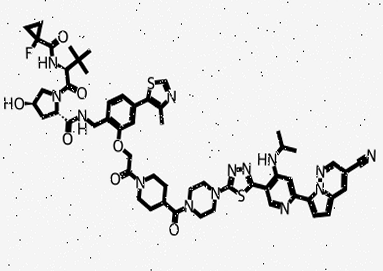 Cc1ncsc1-c1ccc(CNC(=O)[C@@H]2C[C@@H](O)CN2C(=O)[C@@H](NC(=O)C2(F)CC2)C(C)(C)C)c(OCC(=O)N2CCC(C(=O)N3CCN(c4nnc(-c5cnc(-c6ccc7cc(C#N)cnn67)cc5NC(C)C)s4)CC3)CC2)c1